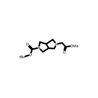 COC(=O)CN1CC2CN(C(=O)OC(C)(C)C)CC2C1